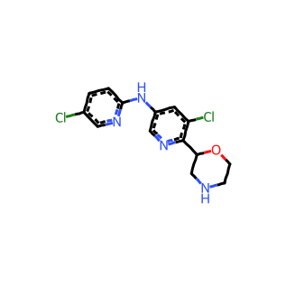 Clc1ccc(Nc2cnc(C3CNCCO3)c(Cl)c2)nc1